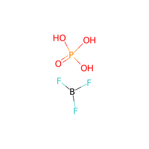 FB(F)F.O=P(O)(O)O